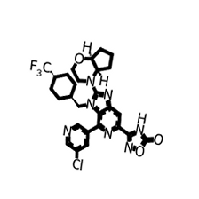 O=c1[nH]c(-c2cc3nc(N4CCO[C@H]5CCC[C@@H]54)n(C[C@H]4CC[C@H](C(F)(F)F)CC4)c3c(-c3cncc(Cl)c3)n2)no1